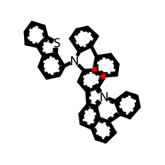 c1ccc(-c2ccccc2N(c2ccc3c(c2)c2ccc4cccc5c6ccccc6n3c2c45)c2cccc3c2sc2ccccc23)cc1